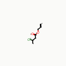 C=CCOC(=O)CC(C)Cl